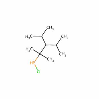 CC(C)C(C(C)C)C(C)(C)PCl